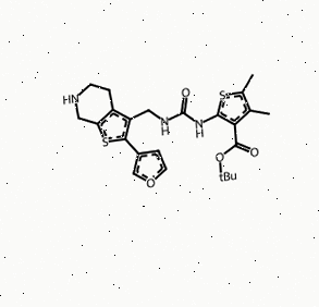 Cc1sc(NC(=O)NCc2c(-c3ccoc3)sc3c2CCNC3)c(C(=O)OC(C)(C)C)c1C